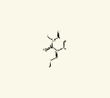 C=CN(C)C(=O)/C(=C\CC)CC